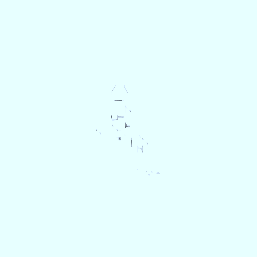 CO[C@@H]1COc2c([S@](=O)(=NC(=O)Nc3c4c(cc5c3CCC5)CCC4)NC#N)cnn2C1